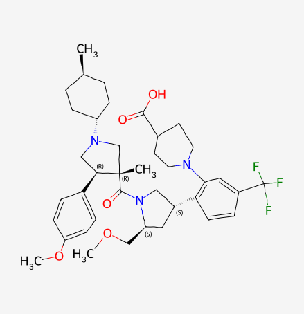 COC[C@@H]1C[C@@H](c2ccc(C(F)(F)F)cc2N2CCC(C(=O)O)CC2)CN1C(=O)[C@@]1(C)CN([C@H]2CC[C@H](C)CC2)C[C@@H]1c1ccc(OC)cc1